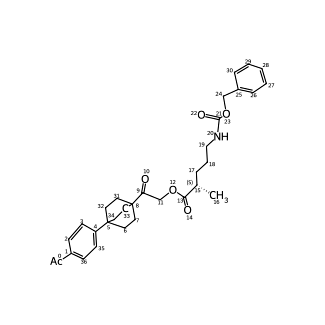 CC(=O)c1ccc(C23CCC(C(=O)COC(=O)[C@@H](C)CCCNC(=O)OCc4ccccc4)(CC2)CC3)cc1